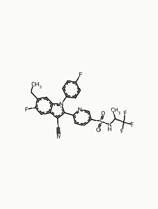 CCc1cc2c(cc1F)c(C#N)c(-c1ccc(S(=O)(=O)NC(C)C(F)(F)F)cn1)n2-c1ccc(F)cc1